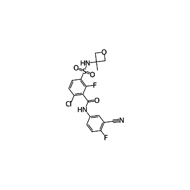 CC1(NS(=O)(=O)c2ccc(Cl)c(C(=O)Nc3ccc(F)c(C#N)c3)c2F)COC1